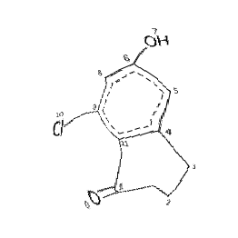 O=C1CCc2cc(O)cc(Cl)c21